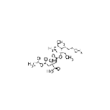 CCCCC(CC)C(CC)(CC)OC(=O)CC(O)(CC(=O)OC(C)=O)C(=O)O